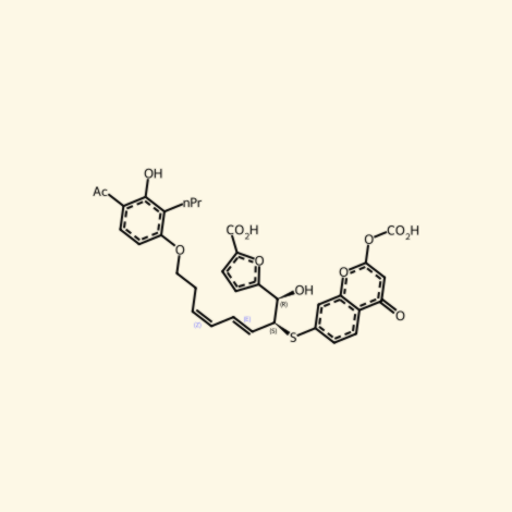 CCCc1c(OCC/C=C\C=C\[C@H](Sc2ccc3c(=O)cc(OC(=O)O)oc3c2)[C@H](O)c2ccc(C(=O)O)o2)ccc(C(C)=O)c1O